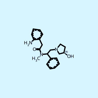 CN(C(=O)Cc1ccccc1N)C(CN1CC[C@@H](O)C1)c1ccccc1